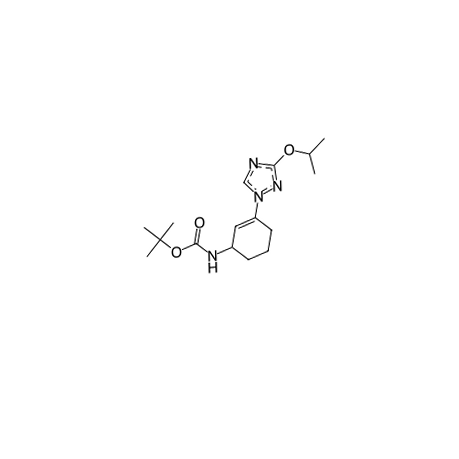 CC(C)Oc1ncn(C2=CC(NC(=O)OC(C)(C)C)CCC2)n1